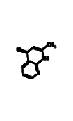 Cc1cc(=O)c2cccnc2[nH]1